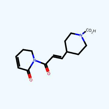 O=C(O)N1CCC(C=CC(=O)N2CCC=CC2=O)CC1